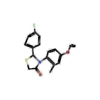 CCCCOc1ccc(N2C(=O)CSC2c2ccc(F)cc2)c(C)c1